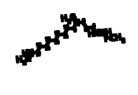 CCNNCCCN(C)CCCCCCCCCNN